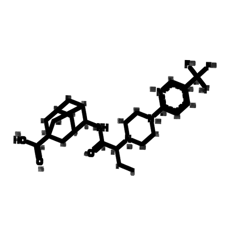 CCC(C(=O)NC1C2CC3CC1CC(C(=O)O)(C3)C2)N1CCN(c2ccc(C(F)(F)F)cn2)CC1